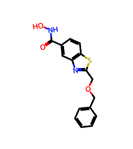 O=C(NO)c1ccc2sc(COCc3ccccc3)nc2c1